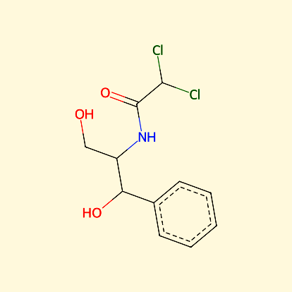 O=C(NC(CO)C(O)c1ccccc1)C(Cl)Cl